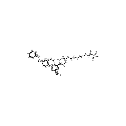 CS(=O)(=O)NCCOCCOCCN1CCN(c2nc(N)nc3c2CCc2cc(OCc4ccccc4)ccc2-3)CC1